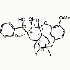 COc1ccc2c3c1O[C@H]1[C@H](O)[C@](CO)([C@H](O)c4ccccc4)C[C@H]4[C@@H](C2)N(C)CC[C@@]341